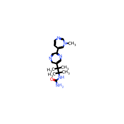 CN1C=NC=CC(C2=NC=C(C(C)(C)C(C)(C)NC(N)=O)CN=C2)=C1